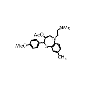 CNCCN1CC(OC(C)=O)C(c2ccc(OC)cc2)Sc2cc(C)ccc21